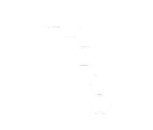 CCC(OC(N)=O)c1ccc(N=Nc2ccccc2)cc1